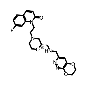 O=c1ccc2ccc(F)cc2n1CCN1CCO[C@@H](CNCc2cc3c(nn2)OCCO3)C1